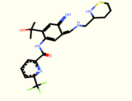 CC(C)(O)C1=CC(=N)/C(=C\NCC2CCCSN2)C=C1NC(=O)c1cccc(C(F)(F)F)n1